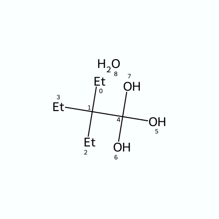 CCC(CC)(CC)C(O)(O)O.O